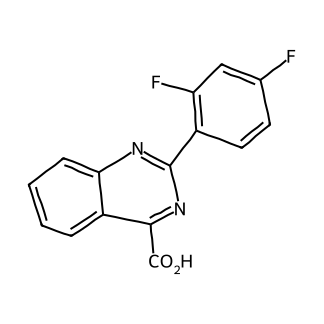 O=C(O)c1nc(-c2ccc(F)cc2F)nc2ccccc12